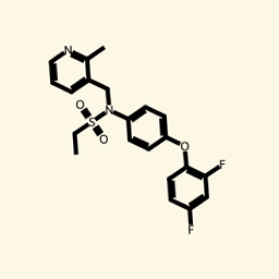 CCS(=O)(=O)N(Cc1cccnc1C)c1ccc(Oc2ccc(F)cc2F)cc1